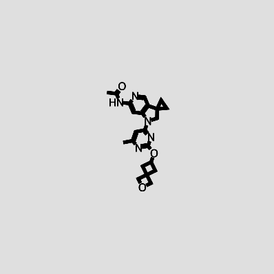 CC(=O)Nc1cc2c(cn1)C1(CC1)CN2c1cc(C)nc(OC2CC3(COC3)C2)n1